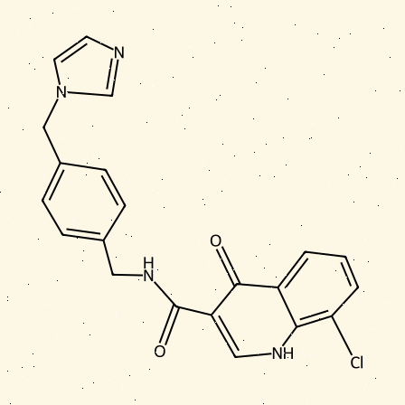 O=C(NCc1ccc(Cn2ccnc2)cc1)c1c[nH]c2c(Cl)cccc2c1=O